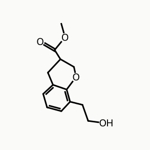 COC(=O)C1COc2c(CCO)cccc2C1